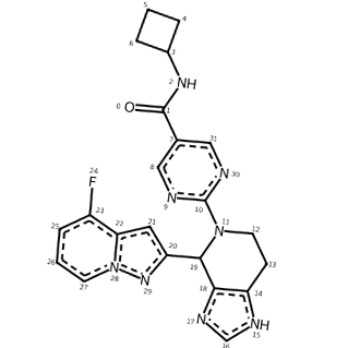 O=C(NC1CCC1)c1cnc(N2CCc3[nH]cnc3C2c2cc3c(F)cccn3n2)nc1